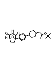 CC(C)(C)OC(=O)CN1CCC(c2ccc(C34CC[C@H](O3)C(=O)NC4=O)cc2)CC1